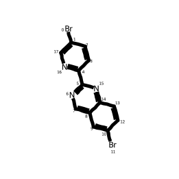 Brc1ccc(-c2ncc3cc(Br)ccc3n2)nc1